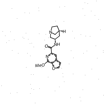 COc1nc(C(=O)N[C@@H]2C[C@H]3CCN(C3)C2)cc2ccoc12